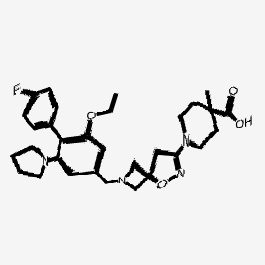 CCOc1cc(CN2CC3(CC(N4CCC(C)(C(=O)O)CC4)=NO3)C2)cc(N2CCCC2)c1-c1ccc(F)cc1